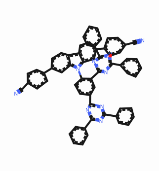 N#Cc1ccc(-c2ccc3c4ccc(-c5ccc(C#N)cc5)cc4n(-c4ccc(-c5nc(-c6ccccc6)nc(-c6ccccc6)n5)cc4-c4nc(-c5ccccc5)nc(-c5ccccc5)n4)c3c2)cc1